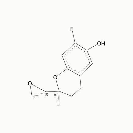 C[C@@]1([C@@H]2CO2)CCc2cc(O)c(F)cc2O1